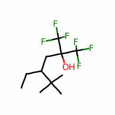 CCC(CC(O)(C(F)(F)F)C(F)(F)F)C(C)(C)C